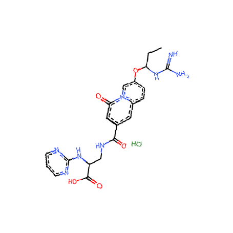 CCC(NC(=N)N)Oc1ccc2cc(C(=O)NCC(Nc3ncccn3)C(=O)O)cc(=O)n2c1.Cl